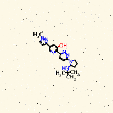 Cn1ccc(-c2cnc(-c3ccc(N4CCCC4NC(C)(C)C)nn3)c(O)c2)n1